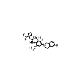 Cc1cc(N2CCc3cc(F)ccc3C2)cc(C)c1NC(=O)CC1(C(F)F)CCC1